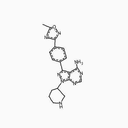 Cc1nc(-c2ccc(-c3nn(C4CCCNC4)c4ncnc(N)c34)cc2)no1